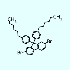 CCCCCCc1ccc(C2(c3ccc(CCCCCC)cc3)C3=C(C=CC(Br)C3)c3ccc(Br)cc32)cc1